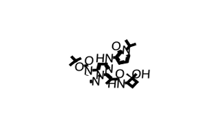 C=NN1C(N(C)C(=O)OC(C)(C)C)=CC(Nc2cccn(C(C)C)c2=O)=N/C1=C(/C)C(=O)NC1CC[C@@]1(C)O